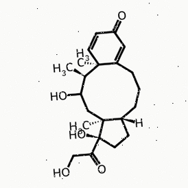 C[C@@H]1C(O)C[C@@]2(C)[C@H](CCCC3=CC(=O)C=C[C@@]31C)CC[C@]2(O)C(=O)CO